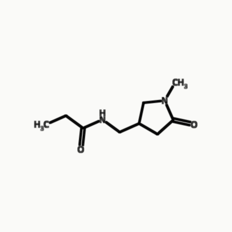 CCC(=O)NCC1CC(=O)N(C)C1